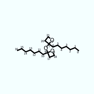 CCCCCCCC1(OC2(CCCCCCC)CCO2)CCO1